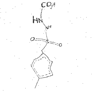 Cc1ccc(S(=O)(=O)NNC(=O)O)cc1